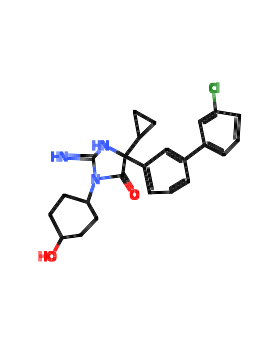 N=C1NC(c2cccc(-c3cccc(Cl)c3)c2)(C2CC2)C(=O)N1C1CCC(O)CC1